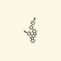 N#Cc1ccc(-c2cccc(-c3ccc4oc5cc6c(oc7ccccc76)c(-c6ccc(C#N)cc6)c5c4c3)c2)cc1